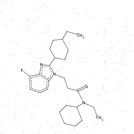 CCC1CCC(c2nc3c(F)cccc3n2CCC(=O)N(CC)C2CCCCC2)CC1